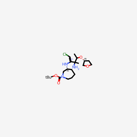 CC(O[C@@H]1CCOC1)C(C)(N)/C(=C/Cl)N[C@@H]1CCCCN(C(=O)OC(C)(C)C)C1